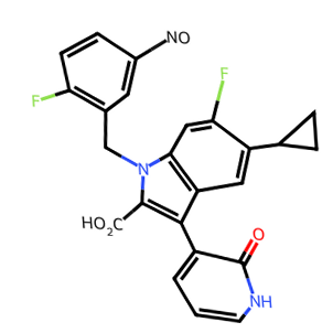 O=Nc1ccc(F)c(Cn2c(C(=O)O)c(-c3ccc[nH]c3=O)c3cc(C4CC4)c(F)cc32)c1